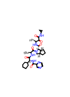 CCCC(NC(=O)[C@@H]1[C@H]2CCC[C@H]2CN1C(=O)C(NC(=O)[C@@H](NC(=O)c1cnccn1)C1CCCCC1)C(C)(C)C)C(=O)C(=O)NC1CC1